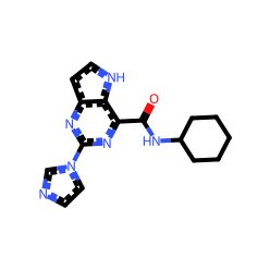 O=C(NC1CCCCC1)c1nc(-n2ccnc2)nc2cc[nH]c12